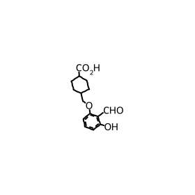 O=Cc1c(O)cccc1OCC1CCC(C(=O)O)CC1